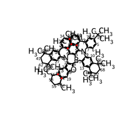 CC(C)(C)c1ccc(N2c3cc4c(cc3B3c5oc6cc7c(cc6c5N(c5cc6c(cc5-c5ccccc5)C(C)(C)CCC6(C)C)c5cc(C(C)(C)C)cc2c53)C2(C)CCC7(C)CC2)C(C)(C)CCC4(C)C)c(-c2ccccc2)c1